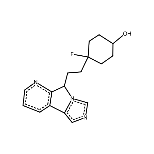 OC1CCC(F)(CCC2c3ncccc3-c3cncn32)CC1